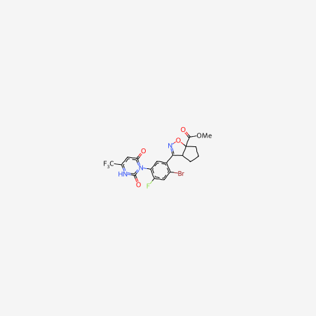 COC(=O)C12CCCC1C(c1cc(-n3c(=O)cc(C(F)(F)F)[nH]c3=O)c(F)cc1Br)=NO2